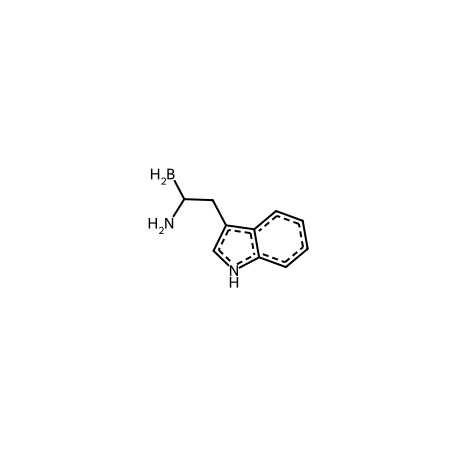 BC(N)Cc1c[nH]c2ccccc12